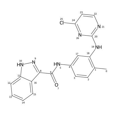 Cc1ccc(NC(=O)c2n[nH]c3ccccc23)cc1Nc1nccc(Cl)n1